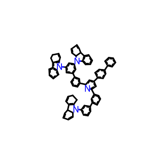 C1=CC2C3=C(CCC=C3)N(c3cccc(-c4cccc(-c5cc(-c6ccc(-c7ccccc7)cc6)cc(-c6cccc(-c7cc(N8c9ccccc9C9C=CC=CC98)cc(-n8c9c(c%10ccccc%108)CCC=C9)c7)c6)n5)c4)c3)C2C=C1